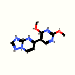 COc1ncc(-c2ccn3ncnc3n2)c(OC)n1